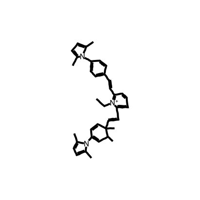 CC[n+]1c(/C=C/c2ccc(-n3c(C)ccc3C)cc2)cccc1/C=C/C1(C)C=CC(n2c(C)ccc2C)=CC1C